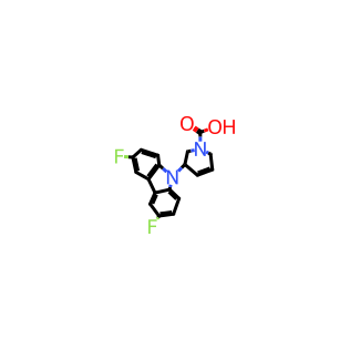 O=C(O)N1CC=CC(n2c3ccc(F)cc3c3cc(F)ccc32)C1